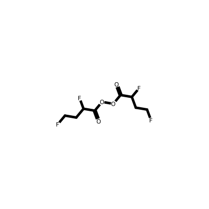 O=C(OOC(=O)C(F)CCF)C(F)CCF